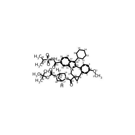 COc1ccc2c(c1)C1CC1(C(=O)N1C[C@H]3C[C@@H]1CN3C(=O)OC(C)(C)C)Cn1c-2c(C2CCCCC2)c2ccc(C(=O)NS(=O)(=O)C(C)C)cc21